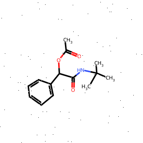 CC(=O)OC(C(=O)NC(C)(C)C)c1ccccc1